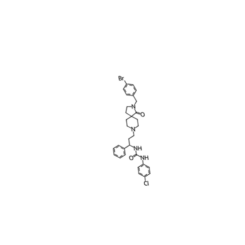 O=C(Nc1ccc(Cl)cc1)NC(CCN1CCC2(CC1)CCN(Cc1ccc(Br)cc1)C2=O)c1ccccc1